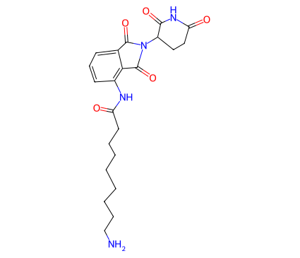 NCCCCCCCCC(=O)Nc1cccc2c1C(=O)N(C1CCC(=O)NC1=O)C2=O